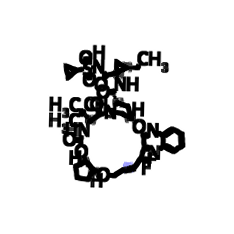 CC[C@@H]1C[C@]1(NC(=O)[C@@H]1C[C@@H]2CN1C(=O)[C@H](C(C)(C)C)NC(=O)O[C@@H]1CCC[C@H]1OC/C=C/C(F)(F)c1nc3ccccc3nc1O2)C(=O)NS(=O)(=O)C1CC1